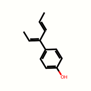 CC=[C]C(=CC)c1ccc(O)cc1